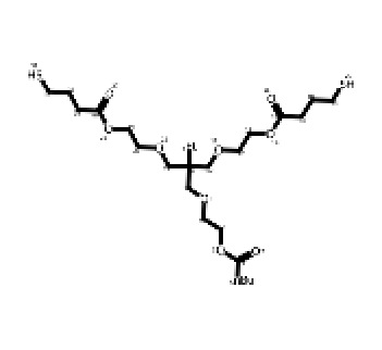 CCCCC(=O)OCCOCC(CC)(COCCOC(=O)CCCS)COCCOC(=O)CCCS